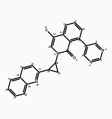 O=c1c2c(-c3cncnc3)cccc2c(F)cn1C1CC1c1ccc2ccccc2n1